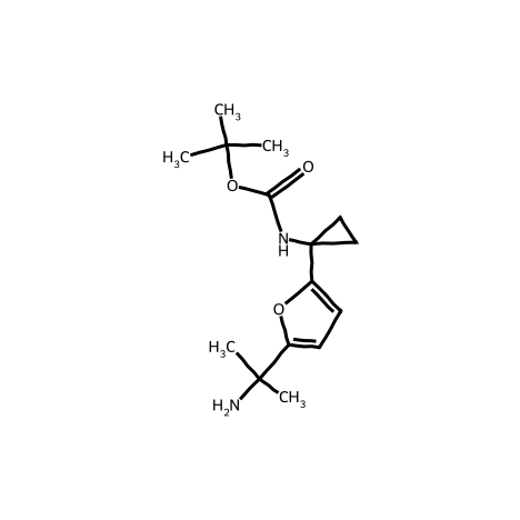 CC(C)(C)OC(=O)NC1(c2ccc(C(C)(C)N)o2)CC1